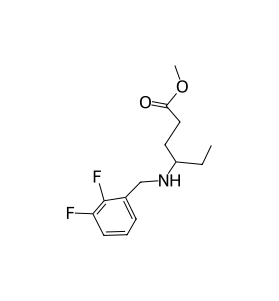 CCC(CCC(=O)OC)NCc1cccc(F)c1F